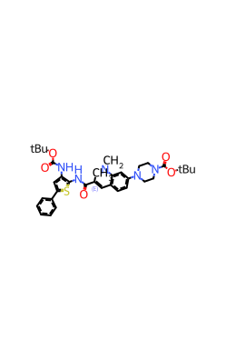 C=Nc1cc(N2CCN(C(=O)OC(C)(C)C)CC2)ccc1/C=C(\C)C(=O)Nc1sc(-c2ccccc2)cc1NC(=O)OC(C)(C)C